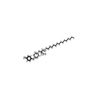 CCCCCCCCCCCCCCCCOCC(O)CN1CCN(Cc2ccc(F)cc2)CC1